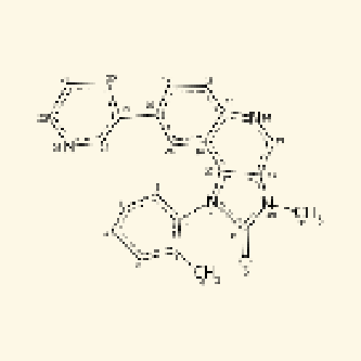 Cc1ccccc1-n1c(=O)n(C)c2cnc3ccc(-c4cccnc4)cc3c21